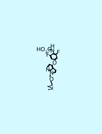 C[Si](C)(C)CCOCn1ccc2c(Oc3cc(F)c(NC(=O)O)c(F)c3)ccnc21